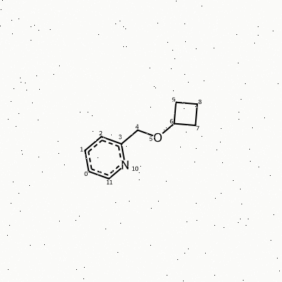 c1ccc(COC2CCC2)nc1